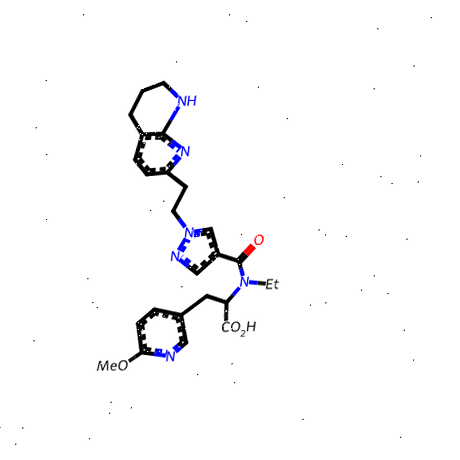 CCN(C(=O)c1cnn(CCc2ccc3c(n2)NCCC3)c1)C(Cc1ccc(OC)nc1)C(=O)O